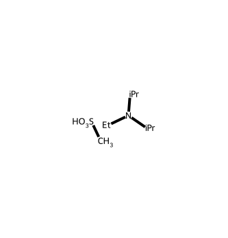 CCN(C(C)C)C(C)C.CS(=O)(=O)O